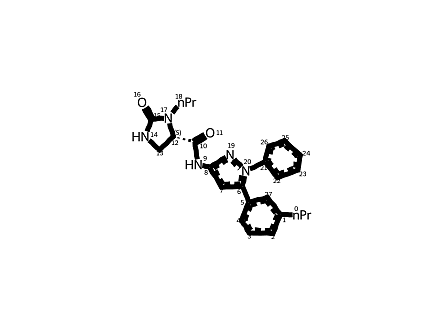 CCCc1cccc(-c2cc(NC(=O)[C@@H]3CNC(=O)N3CCC)nn2-c2ccccc2)c1